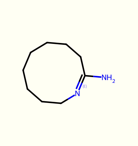 N/C1=N/CCCCCCCC1